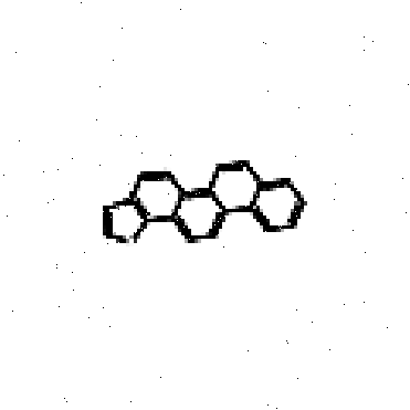 c1ccc2c(c1)ccc1c2ccc2c1ccc1cc[se]c12